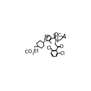 CCOC(=O)[C@]1(C)CC[C@@H](n2ncc(C(=O)N(CC(=O)c3c(Cl)cccc3Cl)CC3(C(F)(F)F)CC3)c2C)CC1